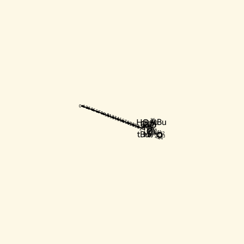 C#CC#CC#CC#CC#CC#CC#CC#CC#CC#CC#CC#CCC(=O)N[C@@H](CO)[C@H](O[Si](C)(C)C(C)(C)C)[C@@H](CCc1ccccc1)O[Si](C)(C)C(C)(C)C